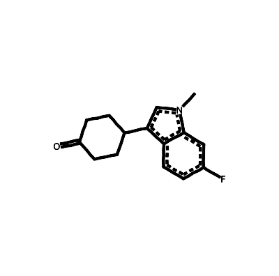 Cn1cc(C2CCC(=O)CC2)c2ccc(F)cc21